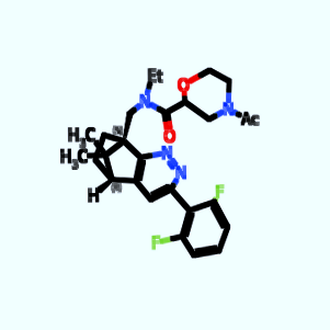 CCN(C[C@@]12CC[C@@H](c3cc(-c4c(F)cccc4F)nnc31)C2(C)C)C(=O)C1CN(C(C)=O)CCO1